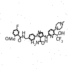 COc1ccc(F)cc1C(=O)NCc1ccc(-n2ncc(Nc3ccc(N4CCN(C)CC4)c([C@H](O)C(F)(F)F)n3)c2C(N)=O)cc1